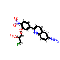 Nc1ccc2nc(-c3ccc([N+](=O)[O-])c(OCC(O)CF)c3)ccc2c1